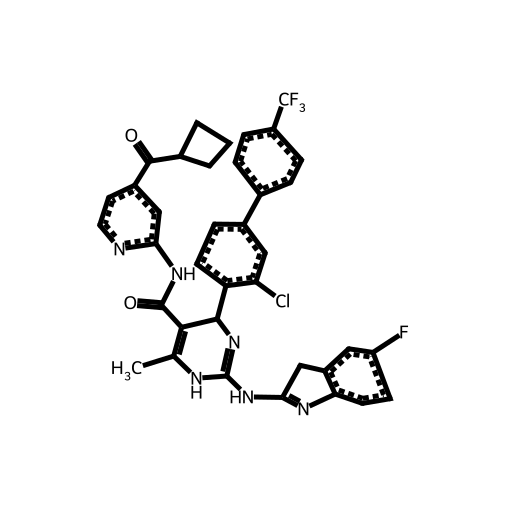 CC1=C(C(=O)Nc2cc(C(=O)C3CCC3)ccn2)C(c2ccc(-c3ccc(C(F)(F)F)cc3)cc2Cl)N=C(NC2=Nc3ccc(F)cc3C2)N1